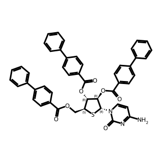 Nc1ccn([C@@H]2S[C@@H](COC(=O)c3ccc(-c4ccccc4)cc3)[C@H](OC(=O)c3ccc(-c4ccccc4)cc3)[C@H]2OC(=O)c2ccc(-c3ccccc3)cc2)c(=O)n1